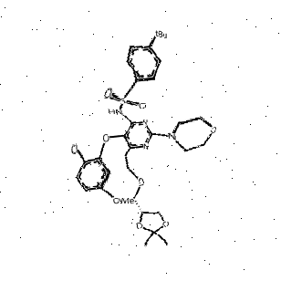 COc1ccc(Cl)c(Oc2c(COC[C@@H]3COC(C)(C)O3)nc(N3CCOCC3)nc2NS(=O)(=O)c2ccc(C(C)(C)C)cc2)c1